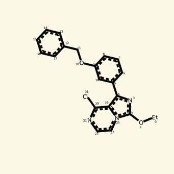 CCOc1nc(-c2cccc(OCc3ccccc3)c2)c2c(Cl)nccn12